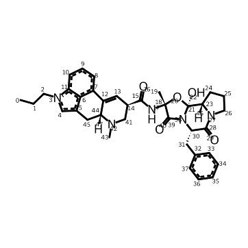 CCCn1cc2c3c(cccc31)C1=C[C@@H](C(=O)N[C@]3(C)O[C@@]4(O)[C@@H]5CCCN5C(=O)[C@H](Cc5ccccc5)N4C3=O)CN(C)[C@@H]1C2